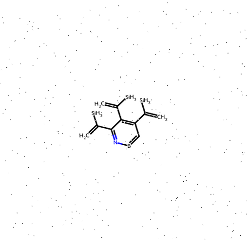 C=C([SiH3])c1cbnc(C(=C)[SiH3])c1C(=C)[SiH3]